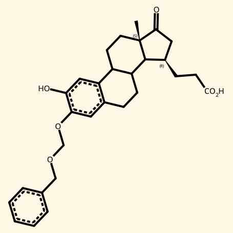 C[C@]12CCC3c4cc(O)c(OCOCc5ccccc5)cc4CCC3C1[C@H](CCC(=O)O)CC2=O